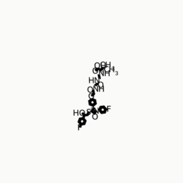 CC(C)[C@@H](NCCNC(=O)CNC(=O)COc1ccc([C@@H]2[C@H](SCC(O)c3ccc(F)cc3)C(=O)N2c2ccc(F)cc2)cc1)C(=O)O